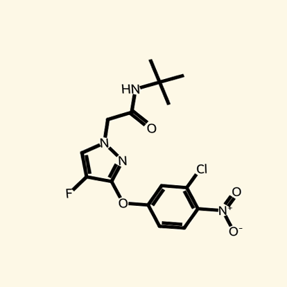 CC(C)(C)NC(=O)Cn1cc(F)c(Oc2ccc([N+](=O)[O-])c(Cl)c2)n1